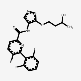 CC(O)CCOc1sncc1NC(=O)c1ccc(F)c(-c2c(F)cccc2F)n1